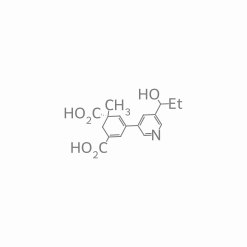 CCC(O)c1cncc(C2=C[C@@](C)(C(=O)O)CC(C(=O)O)=C2)c1